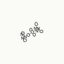 c1ccc(-c2nc(-c3ccccc3)nc(-c3c4ccccc4c(-c4ccc(-n5c(-c6ccccn6)nc6ccccc65)cc4)c4ccccc34)n2)cc1